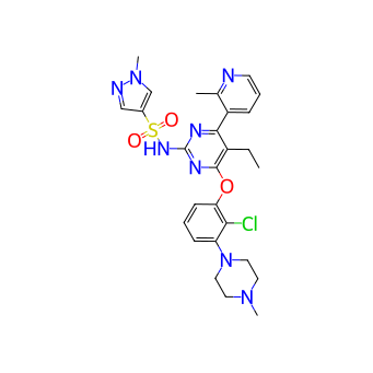 CCc1c(Oc2cccc(N3CCN(C)CC3)c2Cl)nc(NS(=O)(=O)c2cnn(C)c2)nc1-c1cccnc1C